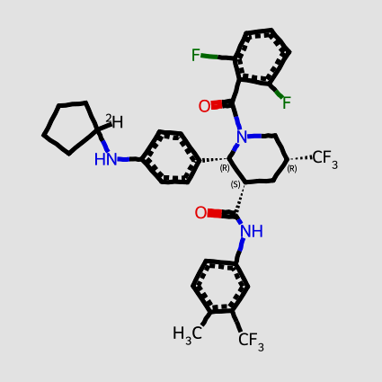 [2H]C1(Nc2ccc([C@H]3[C@@H](C(=O)Nc4ccc(C)c(C(F)(F)F)c4)C[C@@H](C(F)(F)F)CN3C(=O)c3c(F)cccc3F)cc2)CCCC1